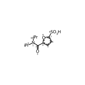 CC(C)N(C(=O)c1ccc(S(=O)(=O)O)o1)C(C)C